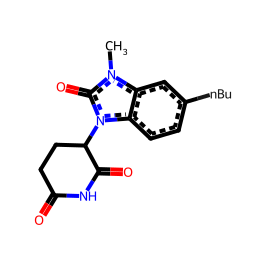 CCCCc1ccc2c(c1)n(C)c(=O)n2C1CCC(=O)NC1=O